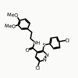 COc1ccc(CCNC(=O)c2cc(Cl)nnc2Sc2ccc(Cl)cc2)cc1OC